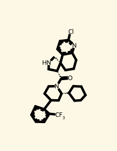 O=C([C@@H]1CNC[C@]12CCCc1nc(Cl)ccc12)N1CCC(c2ccccc2C(F)(F)F)C[C@H]1C1CCCCC1